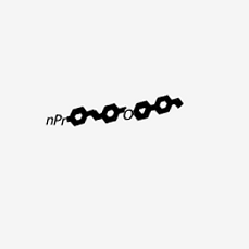 C=CC1CCC(c2ccc(OCC3CCC(/C=C/C4C=CC(CCC)CC4)CC3)cc2)CC1